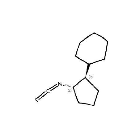 S=C=N[C@H]1CCC[C@@H]1C1CCCCC1